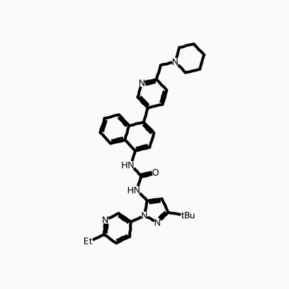 CCc1ccc(-n2nc(C(C)(C)C)cc2NC(=O)Nc2ccc(-c3ccc(CN4CCCCC4)nc3)c3ccccc23)cn1